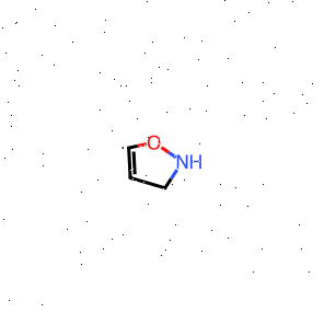 [C]1=CCNO1